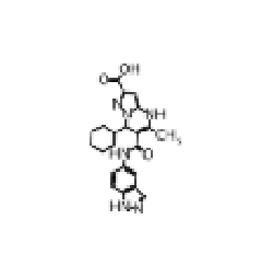 CC1=C(C(=O)Nc2ccc3[nH]ncc3c2)C(C2CCCCC2)n2nc(C(=O)O)cc2N1